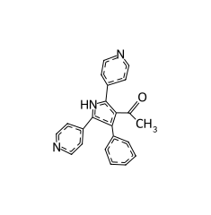 CC(=O)c1c(-c2ccncc2)[nH]c(-c2ccncc2)c1-c1ccccc1